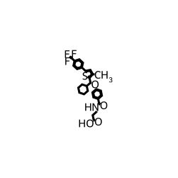 Cc1cc(-c2ccc(C(F)(F)F)cc2)sc1C(Oc1ccc(C(=O)NCCC(=O)O)cc1)C1CCCCC1